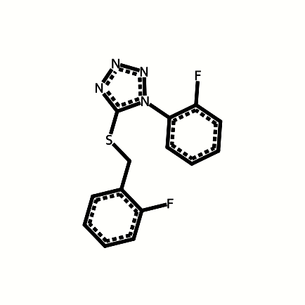 Fc1ccccc1CSc1nnnn1-c1ccccc1F